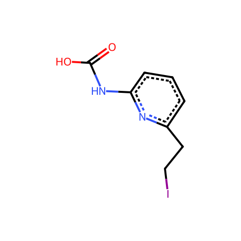 O=C(O)Nc1cccc(CCI)n1